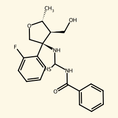 C[C@H]1OC[C@@](NC(S)NC(=O)c2ccccc2)(c2ccccc2F)[C@@H]1CO